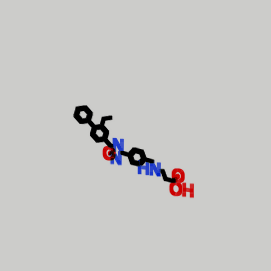 CCc1cc(-c2nc(-c3ccc(CNCCC(=O)O)cc3)no2)ccc1-c1ccccc1